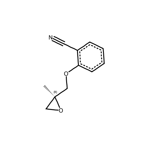 C[C@@]1(COc2ccccc2C#N)CO1